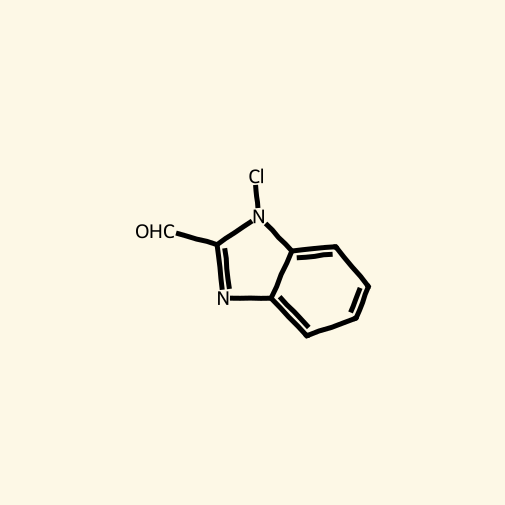 O=Cc1nc2ccccc2n1Cl